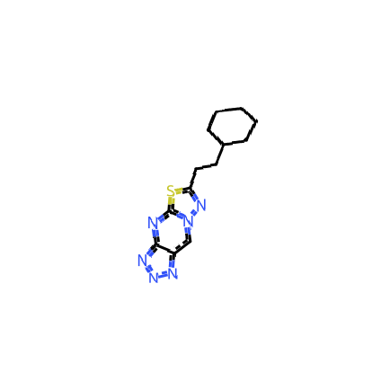 c1c2nnnc-2nc2sc(CCC3CCCCC3)nn12